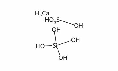 O=S(=O)(O)O.O[Si](O)(O)O.[CaH2]